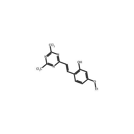 CCOc1ccc(C=Cc2nc(C(Cl)(Cl)Cl)nc(C(Cl)(Cl)Cl)n2)c(O)c1